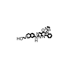 O=c1c2cnc(Nc3ccc4c(c3)CN(CCO)CC4)nc2nc2c3ccccc3n(-c3nccs3)n12